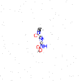 CC(C)(C)OC(=O)NC12CC(n3cc(C(=O)N4CC[Si](C)(C)C4)cn3)(C1)C2